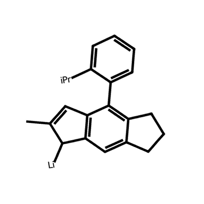 [Li][CH]1C(C)=Cc2c1cc1c(c2-c2ccccc2C(C)C)CCC1